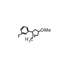 COC1CC(c2cccc(F)c2)N(C)C1